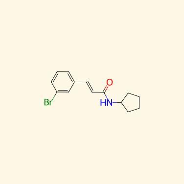 O=C(C=Cc1cccc(Br)c1)NC1CCCC1